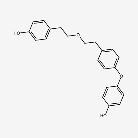 Oc1ccc(CCOCCc2ccc(Oc3ccc(O)cc3)cc2)cc1